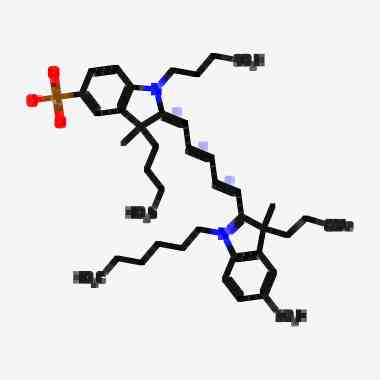 COCCC1(C)C(/C=C/C=C/C=C2/N(CCCS(=O)(=O)O)c3ccc(S(=O)(=O)[O-])cc3C2(C)CCCS(=O)(=O)O)=[N+](CCCCCC(=O)O)c2ccc(S(=O)(=O)O)cc21